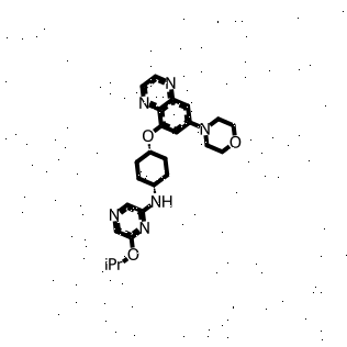 CC(C)Oc1cncc(N[C@H]2CC[C@@H](Oc3cc(N4CCOCC4)cc4nccnc34)CC2)n1